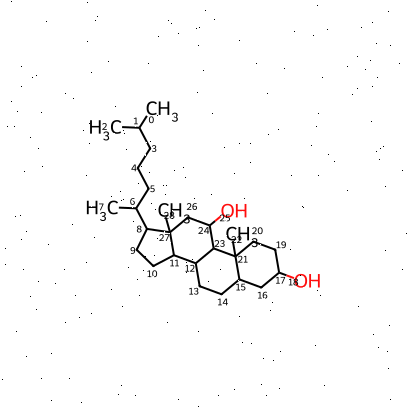 CC(C)CCCC(C)C1CCC2C3CCC4CC(O)CCC4(C)C3C(O)CC12C